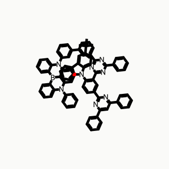 CC(C)(C)c1ccc2c(c1)c1ccccc1n2-c1ccc(-c2nc(-c3ccccc3)cc(-c3ccccc3)n2)cc1-c1nc(-c2ccccc2)nc(-c2cccc(-c3cccc(N4c5ccccc5B5c6ccccc6N(c6ccccc6)c6cccc4c65)c3)c2)n1